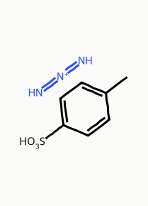 Cc1ccc(S(=O)(=O)O)cc1.N=[N+]=N